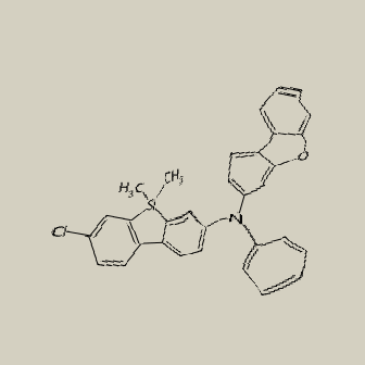 C[Si]1(C)c2cc(Cl)ccc2-c2ccc(N(c3ccccc3)c3ccc4c(c3)oc3ccccc34)cc21